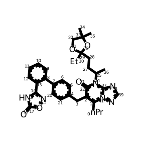 CCCc1c(Cc2ccc(-c3ccccc3-c3noc(=O)[nH]3)cc2)c(=O)n(C(C)CCC2(CC)OCC(C)(C)O2)c2ncnn12